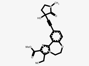 COC(=O)c1nc2n(c1CC#N)CCOc1ccc(C#CC3(O)CCN(C)C3=O)cc1-2